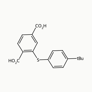 CC(C)(C)c1ccc(Sc2cc(C(=O)O)ccc2C(=O)O)cc1